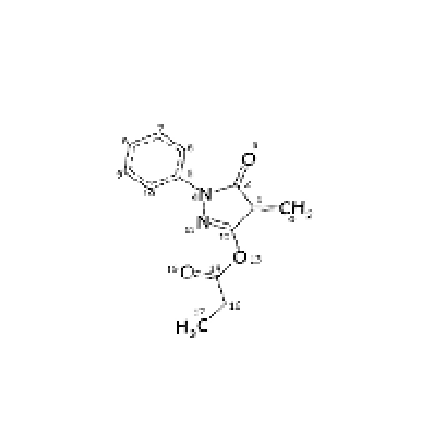 C=C1C(=O)N(c2ccccc2)N=C1OC(=O)CC